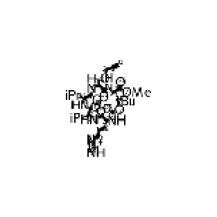 C#CCOC[C@H](NC(=O)[C@@H](NC(=O)[C@@H](NC(=O)[C@H](CCCN=[N+]=N)NC(=O)OC(C)(C)C)C(C)C)C(C)C)C(=O)NCC(=O)OC